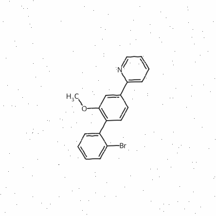 COc1cc(-c2ccccn2)ccc1-c1ccccc1Br